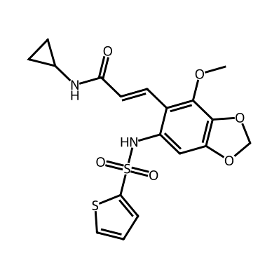 COc1c(/C=C/C(=O)NC2CC2)c(NS(=O)(=O)c2cccs2)cc2c1OCO2